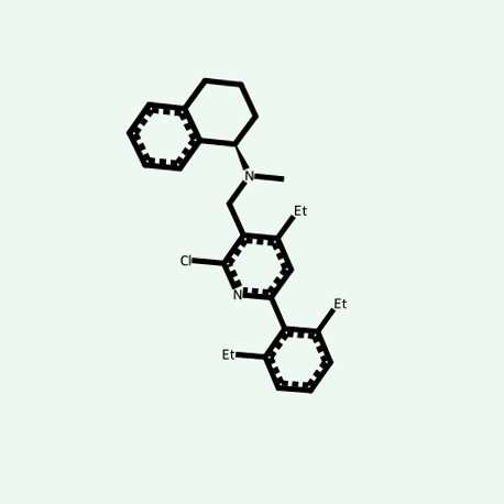 CCc1cc(-c2c(CC)cccc2CC)nc(Cl)c1CN(C)[C@@H]1CCCc2ccccc21